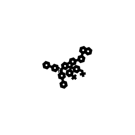 CC(C)(C)Cc1ccc(C2(c3cccc(C(C)(C)C)c3)c3cc(-c4cccc(-c5cccc6ccccc56)c4)ccc3-c3ccc(N(c4ccc(-c5ccccc5)cc4)c4ccc(-c5ccccc5)cc4)cc32)cc1